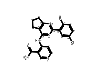 NC(=O)c1cnccc1Nc1nc(-c2cc(Cl)ccc2F)nc2c1CCC2